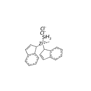 [CH3][Zr+2]([SiH3])([CH]1C=Cc2ccccc21)[CH]1C=Cc2ccccc21.[Cl-].[Cl-]